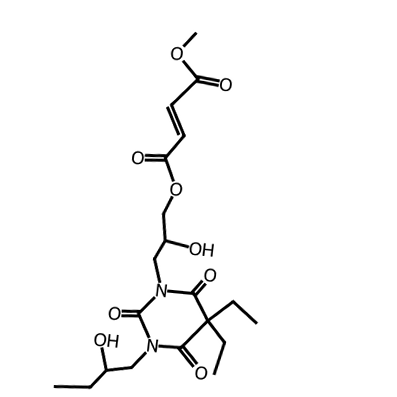 CCC(O)CN1C(=O)N(CC(O)COC(=O)/C=C/C(=O)OC)C(=O)C(CC)(CC)C1=O